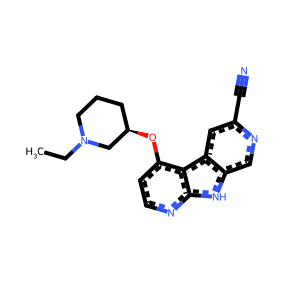 CCN1CCC[C@@H](Oc2ccnc3[nH]c4cnc(C#N)cc4c23)C1